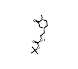 CN1CCN(CCNC(=O)OC(C)(C)C)CC1=O